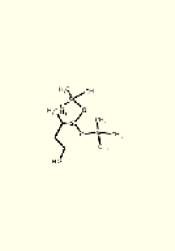 CC(CCO)[SiH](O[Si](C)(C)C)O[Si](C)(C)C